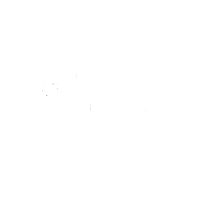 CCCCCCCCCCCC(C)[n+]1cc[nH]c1C(CC)CCC